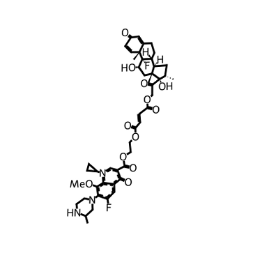 COc1c(N2CCNC(C)C2)c(F)cc2c(=O)c(C(=O)OCCOC(=O)C=CC(=O)OCC(=O)[C@]3(O)[C@@H](C)C[C@@H]4[C@H]5CCC6=CC(=O)C=C[C@@]6(C)[C@]5(F)[C@H](O)C[C@]43C)cn(C3CC3)c12